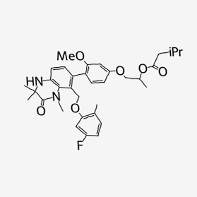 COc1cc(OCC(C)OC(=O)CC(C)C)ccc1-c1ccc2c(c1COc1cc(F)ccc1C)N(C)C(=O)C(C)(C)N2